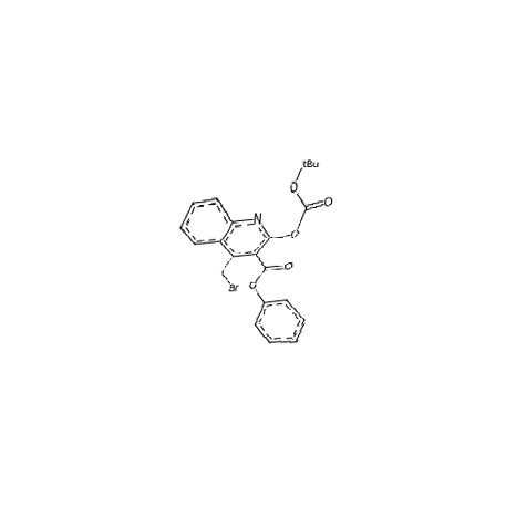 CC(C)(C)OC(=O)Oc1nc2ccccc2c(CBr)c1C(=O)Oc1ccccc1